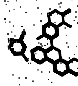 Cc1cc2c(cc1C1=c3ccccc3=c3ccc4c(c3C1)CCCC=4)N(C)C(=O)CO2.Cc1cn[nH]c(=O)c1